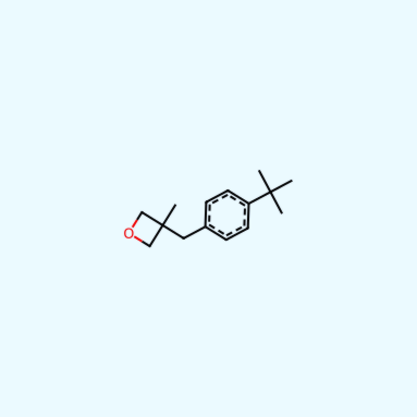 CC1(Cc2ccc(C(C)(C)C)cc2)COC1